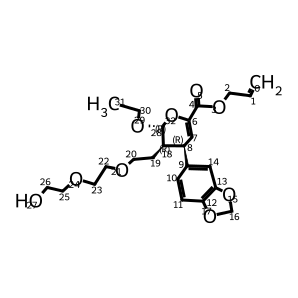 C=CCOC(=O)C1=C[C@@H](c2ccc3c(c2)OCO3)[C@@H](CCOCCOCCO)[C@H](OCC)O1